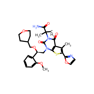 COc1ccccc1[C@H](Cn1c(=O)n(C(C)(C)C(N)=O)c(=O)c2c(C)c(-c3ncco3)sc21)OCC1CCOCC1